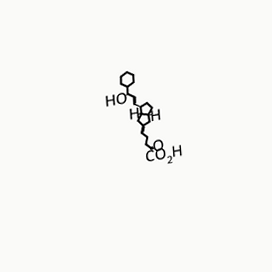 O=C(O)C(=O)CC/C=C1\C[C@@H]2CC[C@H](/C=C/[C@H](O)C3CCCCC3)[C@H]2C1